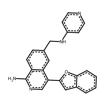 Nc1ncc(-c2cc3ccccc3o2)c2cc(CNc3ccncc3)ccc12